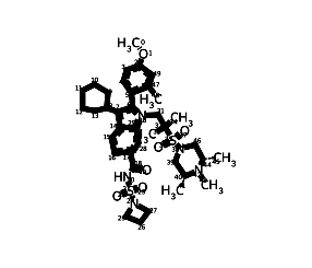 COc1ccc(-c2c(C3CCCCC3)c3ccc(C(=O)NS(=O)(=O)N4CCC4)cc3n2CC(C)(C)S(=O)(=O)N2C[C@@H](C)N(C)[C@@H](C)C2)c(C)c1